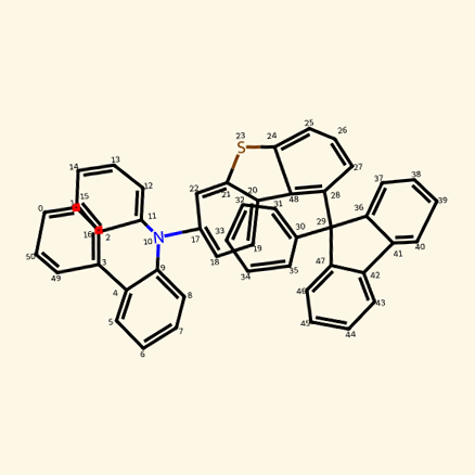 c1ccc(-c2ccccc2N(c2ccccc2)c2ccc3c(c2)sc2cccc(C4(c5ccccc5)c5ccccc5-c5ccccc54)c23)cc1